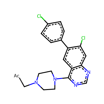 CC(=O)CN1CCN(c2ncnc3cc(Cl)c(-c4ccc(Cl)cc4)cc23)CC1